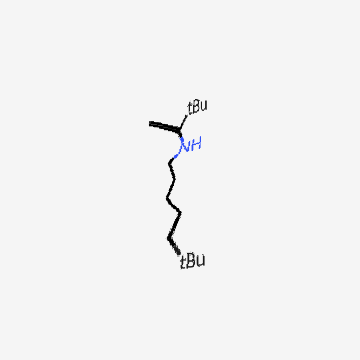 C=C(NCCCCCC(C)(C)C)C(C)(C)C